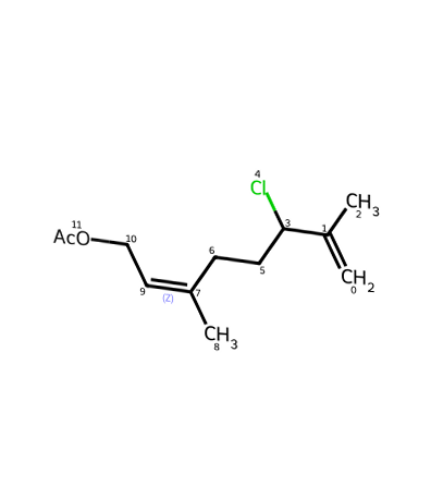 C=C(C)C(Cl)CC/C(C)=C\COC(C)=O